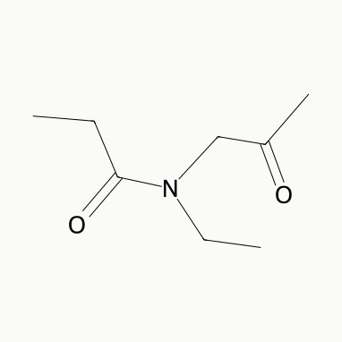 CCC(=O)N(CC)CC(C)=O